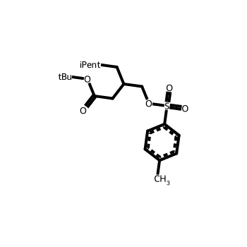 CCCC(C)CC(COS(=O)(=O)c1ccc(C)cc1)CC(=O)OC(C)(C)C